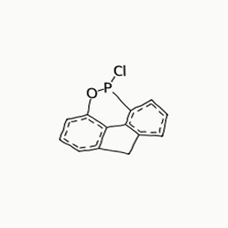 ClP1Oc2cccc3c2-c2c(cccc21)C3